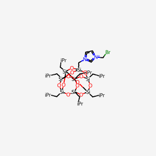 CC(C)C[Si]12O[Si]3(CC(C)C)O[Si]4(CC(C)C)O[Si](CC(C)C)(O1)O[Si]1(CC(C)C)O[Si](CC(C)C)(O2)O[Si](CC(C)C)(O3)O[Si](Cn2cc[n+](CBr)c2)(O4)O1